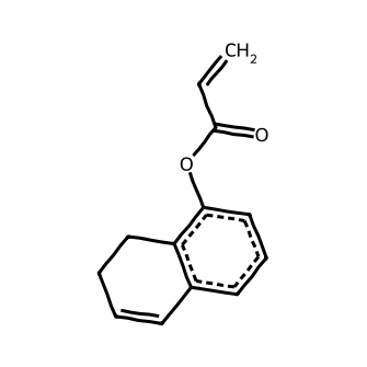 C=CC(=O)Oc1cccc2c1CCC=C2